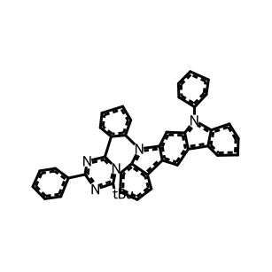 CC(C)(C)c1nc(-c2ccccc2)nc(-c2ccccc2-n2c3ccccc3c3cc4c5ccccc5n(-c5ccccc5)c4cc32)n1